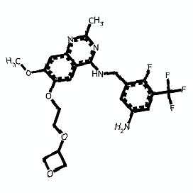 COc1cc2nc(C)nc(NCc3cc(N)cc(C(F)(F)F)c3F)c2cc1OCCOC1COC1